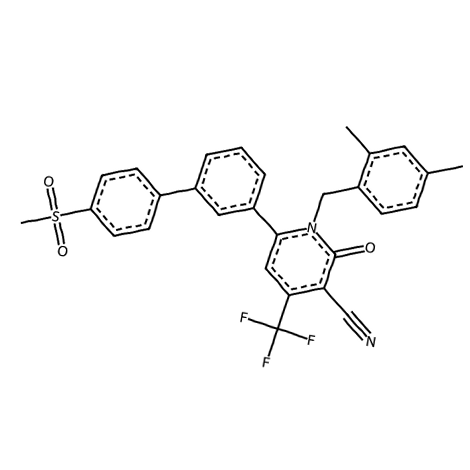 Cc1ccc(Cn2c(-c3cccc(-c4ccc(S(C)(=O)=O)cc4)c3)cc(C(F)(F)F)c(C#N)c2=O)c(C)c1